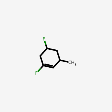 CC1C=C(F)CC(F)C1